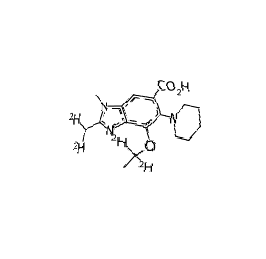 [2H]C([2H])c1nc2c(OC([2H])([2H])C)c(N3CCCCC3)c(C(=O)O)cc2n1C